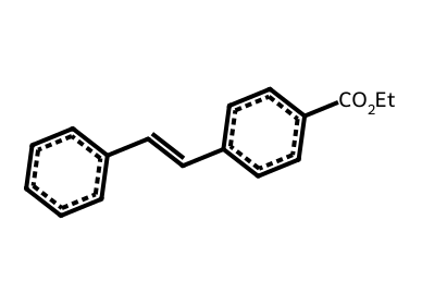 CCOC(=O)c1ccc(C=Cc2ccccc2)cc1